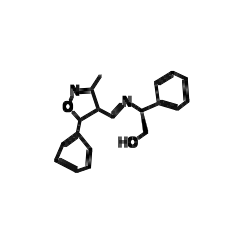 CC1=NOC(c2ccccc2)C1/C=N/[C@H](CO)c1ccccc1